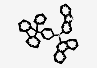 C1=CC(N(c2ccc3sc4ccccc4c3c2)c2cc3ccccc3c3ccccc23)CC=C1C1(c2ccccc2)c2ccccc2-c2ccccc21